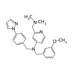 COc1cccc(CN(Cc2ccc(-n3cccn3)cc2)c2ccnc(CN(C)C)c2)c1